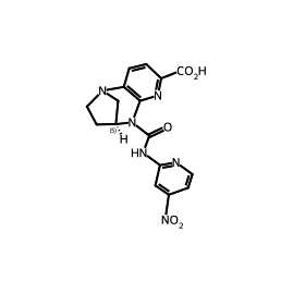 O=C(O)c1ccc2c(n1)N(C(=O)Nc1cc([N+](=O)[O-])ccn1)[C@H]1CCN2C1